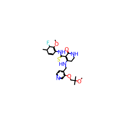 COC1=C(NC(=S)C2=C(NCc3ccncc3OCC(C)(C)OC)CCNC2=O)C=CC(C)C1F